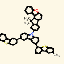 Cc1ccc2sc3c(-c4ccc5c(c4)c4cc(-c6ccc7sc8ccccc8c7c6)ccc4n5-c4ccc5c(c4)C(C)(C)c4c-5ccc5oc6ccccc6c45)cccc3c2c1